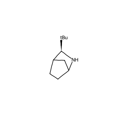 CC(C)(C)[C@H]1NC2CCC1C2